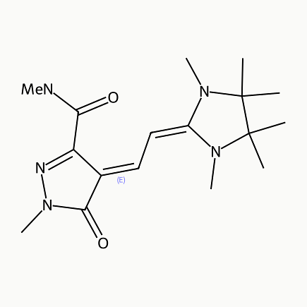 CNC(=O)C1=NN(C)C(=O)/C1=C/C=C1N(C)C(C)(C)C(C)(C)N1C